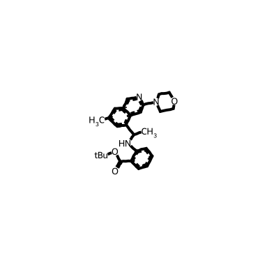 Cc1cc(C(C)Nc2ccccc2C(=O)OC(C)(C)C)c2cc(N3CCOCC3)ncc2c1